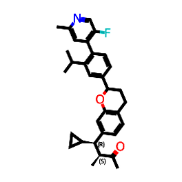 CC(=O)[C@@H](C)[C@H](c1ccc2c(c1)OC(c1ccc(-c3cc(C)ncc3F)c(C(C)C)c1)CC2)C1CC1